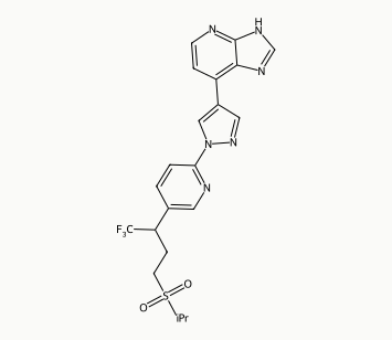 CC(C)S(=O)(=O)CCC(c1ccc(-n2cc(-c3ccnc4[nH]cnc34)cn2)nc1)C(F)(F)F